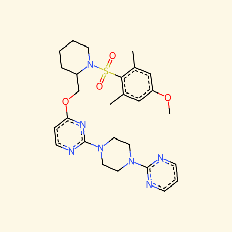 COc1cc(C)c(S(=O)(=O)N2CCCCC2COc2ccnc(N3CCN(c4ncccn4)CC3)n2)c(C)c1